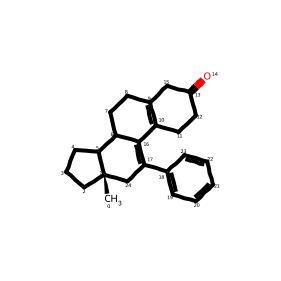 C[C@@]12CCCC1C1CCC3=C(CCC(=O)C3)C1=C(c1ccccc1)C2